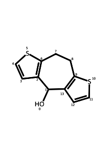 OC1c2ccsc2CCc2sccc21